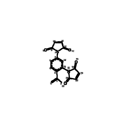 C=C(C)c1ccc(N2C(=O)C=CC2=O)cc1N1C(=O)C=CC1=O